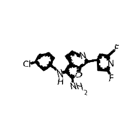 Nc1oc2c(-c3cc(F)nc(F)c3)nccc2c1Nc1cccc(Cl)c1